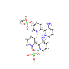 Nc1cccnc1-c1ccccn1.Nc1cccnc1-c1ccccn1.[Cu+2].[O-][Cl+3]([O-])([O-])[O-].[O-][Cl+3]([O-])([O-])[O-]